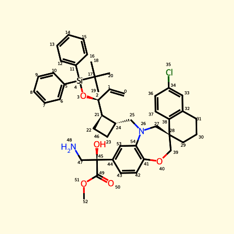 C=C[C@H](O[Si](c1ccccc1)(c1ccccc1)C(C)(C)C)[C@@H]1CC[C@H]1CN1C[C@@]2(CCCc3cc(Cl)ccc32)COc2ccc([C@@](O)(CN)C(=O)OC)cc21